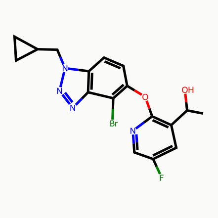 CC(O)c1cc(F)cnc1Oc1ccc2c(nnn2CC2CC2)c1Br